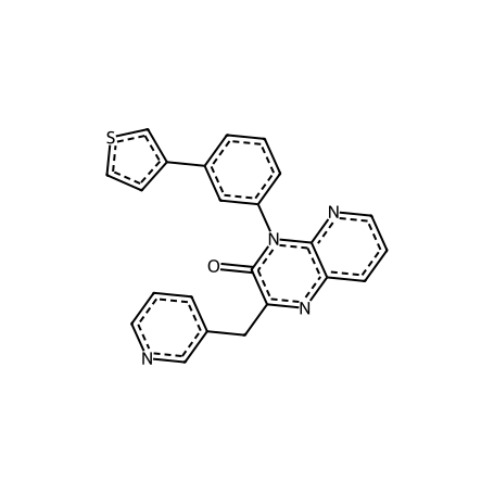 O=c1c(Cc2cccnc2)nc2cccnc2n1-c1cccc(-c2ccsc2)c1